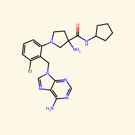 CCc1cccc(N2CCC(N)(C(=O)NC3CCCC3)C2)c1Cn1cnc2c(N)ncnc21